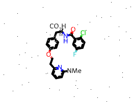 CNc1cccc(CCOc2ccc(C[C@H](NC(=O)c3cc(F)ccc3Cl)C(=O)O)cc2)n1